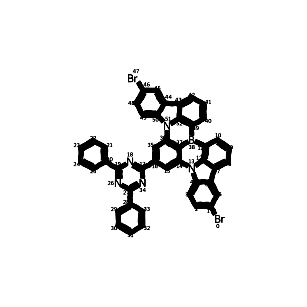 Brc1ccc2c(c1)c1cccc3c1n2-c1cc(-c2nc(-c4ccccc4)nc(-c4ccccc4)n2)cc2c1B3c1cccc3c4cc(Br)ccc4n-2c13